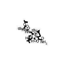 C=C(C)OC(=O)[C@@H](NC(=O)N[C@H](C(=O)N1C[C@H]2[C@@H]([C@H]1C(=O)NC(CC1CC1)C(=O)C(N)=O)C2(C)C)C(C)(C)C)C(C)(C)C